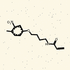 C=CC(=O)NCCCCOc1ccc(C)c([N+](=O)[O-])c1